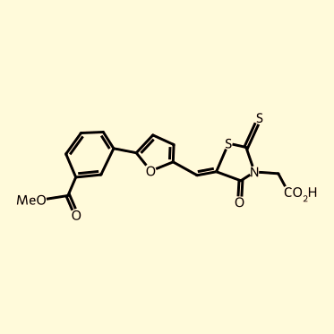 COC(=O)c1cccc(-c2ccc(/C=C3\SC(=S)N(CC(=O)O)C3=O)o2)c1